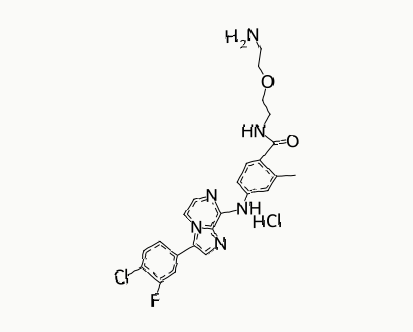 Cc1cc(Nc2nccn3c(-c4ccc(Cl)c(F)c4)cnc23)ccc1C(=O)NCCOCCN.Cl